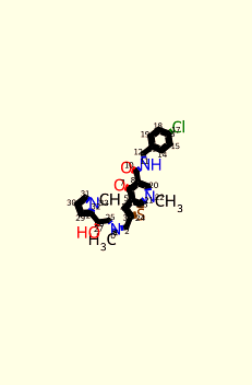 CN(Cc1cc2c(=O)c(C(=O)NCc3ccc(Cl)cc3)cn(C)c2s1)CC(O)c1cccn1C